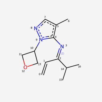 C=C/C(=N\c1c(C)cnn1C1COC1)C(C)C